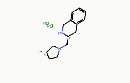 C[C@H]1CCN(C[C@@H]2Cc3ccccc3CN2)C1.Cl.Cl